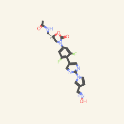 CC(=O)NC[C@H]1CN(c2cc(F)c(-c3cnc(-n4ccc(/C=N/O)c4)nc3)c(F)c2)C(=O)O1